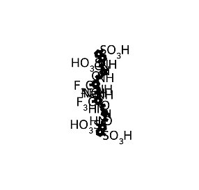 Cn1cc(NC(=O)c2cc(NC(=O)Nc3cc(C(=O)Nc4cc(C(=O)Nc5ccc6c(S(=O)(=O)O)cccc6c5S(=O)(=O)O)n(C)c4)cc(C(F)(F)F)c3)cc(C(F)(F)F)c2)cc1C(=O)Nc1ccc2c(S(=O)(=O)O)cccc2c1S(=O)(=O)O.[NaH].[NaH]